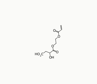 C=CC(=O)OCCOC(=O)C(O)CC(=O)O